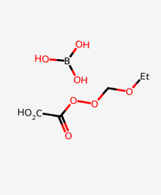 CCOCOOC(=O)C(=O)O.OB(O)O